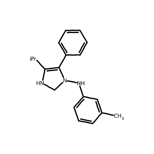 Cc1cccc(NN2CNC(C(C)C)=C2c2ccccc2)c1